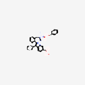 COC(=O)c1ccc2c(C3CCCCC3)c3n(c2c1)CC(NC(=O)OCc1ccccc1)Cc1ccccc1-3